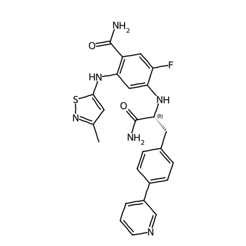 Cc1cc(Nc2cc(N[C@H](Cc3ccc(-c4cccnc4)cc3)C(N)=O)c(F)cc2C(N)=O)sn1